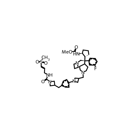 COC(=O)N[C@H]1CCC[C@@H]1[C@](CN1CCC1)(c1cccc(F)c1)C1CCN(CC2CN(c3ccc(CC4CN(C(=O)NC/C=C/S(C)(=O)=O)C4)cc3)C2)CC1